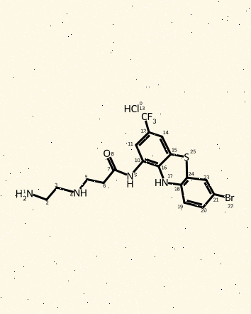 Cl.NCCNCCC(=O)Nc1cc(C(F)(F)F)cc2c1Nc1ccc(Br)cc1S2